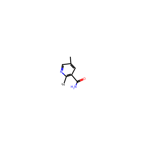 [2H]c1ncc(C)cc1C(N)=O